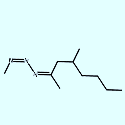 CCCCC(C)C/C(C)=N\N=N/C